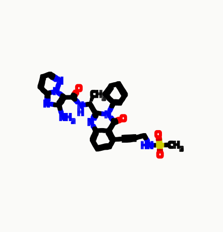 C[C@@H](NC(=O)c1c(N)nc2cccnn12)c1nc2cccc(C#CCNS(C)(=O)=O)c2c(=O)n1-c1ccccc1